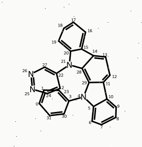 c1ccc(-n2c3ccccc3c3ccc4c5ccccc5n(-c5ccnnc5)c4c32)cc1